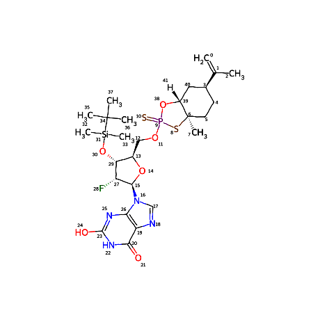 C=C(C)[C@H]1CC[C@@]2(C)SP(=S)(OC[C@H]3O[C@@H](n4cnc5c(=O)[nH]c(O)nc54)[C@H](F)[C@@H]3O[Si](C)(C)C(C)(C)C)O[C@@H]2C1